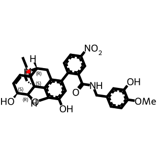 COc1ccc(CNC(=O)c2cc([N+](=O)[O-])ccc2-c2cc(O)c3c4c2C[C@@H]2[C@@H]5C=C[C@H](O)[C@H](O3)[C@]45CCN2C)cc1O